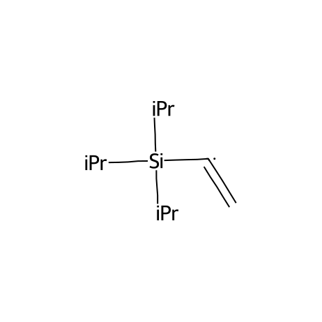 C=[C][Si](C(C)C)(C(C)C)C(C)C